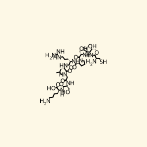 CC(C)C[C@H](NC(=O)[C@H](CCCNC(=N)N)NC(=O)[C@@H]1CCCN1C(=O)[C@H](CO)NC(=O)[C@@H](NC(=O)[C@@H](N)CS)[C@@H](C)O)C(=O)NCC(=O)N[C@@H](CO)C(=O)N[C@@H](CCCCN)C(=O)O